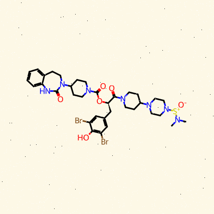 CN(C)[S+]([O-])N1CCN(C2CCN(C(=O)[C@@H](Cc3cc(Br)c(O)c(Br)c3)OC(=O)N3CCC(N4CCc5ccccc5NC4=O)CC3)CC2)CC1